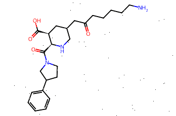 NCCCCCC(=O)CC1CN[C@@H](C(=O)N2CCC(c3ccccc3)C2)[C@@H](C(=O)O)C1